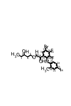 CCC(O)CCONC(=O)c1cc(Br)c(F)c(F)c1Nc1ccc(I)cc1C